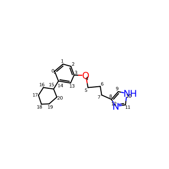 [c]1ccc(OCCCc2c[nH]cn2)cc1C1CCCCC1